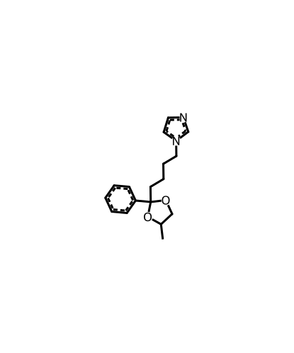 CC1COC(CCCCn2ccnc2)(c2ccccc2)O1